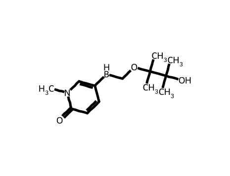 Cn1cc(BCOC(C)(C)C(C)(C)O)ccc1=O